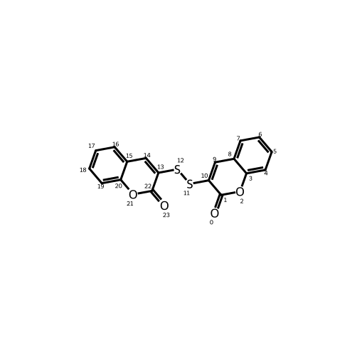 O=c1oc2ccccc2cc1SSc1cc2ccccc2oc1=O